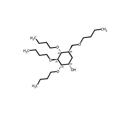 CCCCOC[C@H]1C[C@H](O)[C@H](OCCCC)[C@@H](OCCCC)[C@@H]1OCCCC